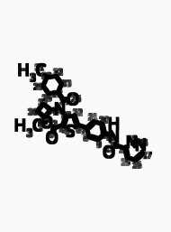 COC(=O)c1sc(-c2ccc(NC(=O)c3cccnn3)cc2)cc1N(C(=O)C1CCC(C)CC1)C1CCC1